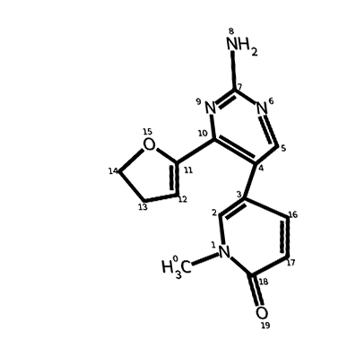 Cn1cc(-c2cnc(N)nc2C2=CCCO2)ccc1=O